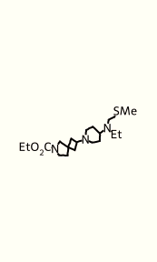 CCOC(=O)N1CCC2(CC(N3CCC(N(CC)CCSC)CC3)C2)C1